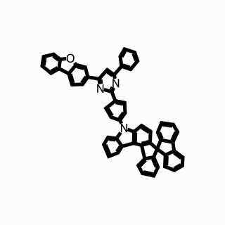 c1ccc(-c2cc(-c3ccc4c(c3)oc3ccccc34)nc(-c3ccc(-n4c5ccccc5c5c6c(ccc54)C4(c5ccccc5-c5ccccc54)c4ccccc4-6)cc3)n2)cc1